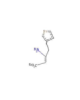 CCOC(=O)C=C(N)Cc1ccsc1